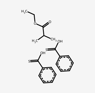 CCOC(=O)C(C)C.OC(=S)c1ccccc1.OC(=S)c1ccccc1